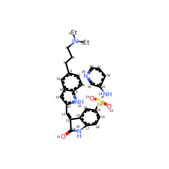 CCN(CC)CCCc1ccc2[nH]c(/C=C3/C(=O)Nc4ccc(S(=O)(=O)Nc5cccnc5)cc43)cc2c1